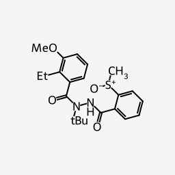 CCc1c(OC)cccc1C(=O)N(NC(=O)c1ccccc1[S+](C)[O-])C(C)(C)C